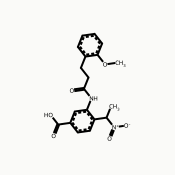 COc1ccccc1CCC(=O)Nc1cc(C(=O)O)ccc1C(C)[N+](=O)[O-]